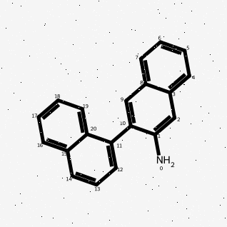 Nc1cc2ccccc2cc1-c1cccc2ccccc12